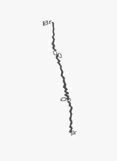 O=C(CCCCCCCCCCCCCCCCC(=O)OCCCCCCCCCCCBr)OCCCCCCCCCCCBr